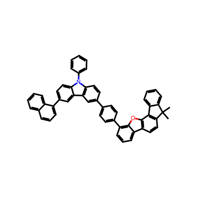 CC1(C)c2ccccc2-c2c1ccc1c2oc2c(-c3ccc(-c4ccc5c(c4)c4cc(-c6cccc7ccccc67)ccc4n5-c4ccccc4)cc3)cccc21